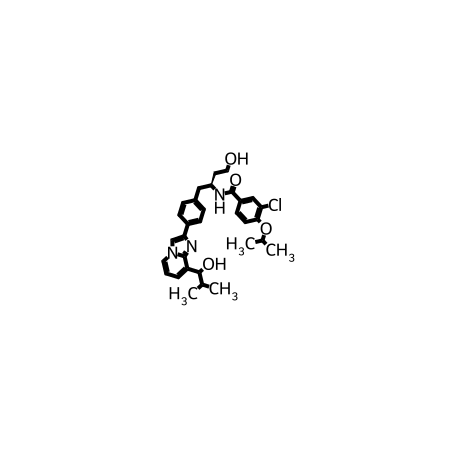 CC(C)Oc1ccc(C(=O)N[C@H](CCO)Cc2ccc(-c3cn4cccc(C(O)C(C)C)c4n3)cc2)cc1Cl